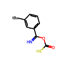 CC(C)(C)c1cccc(C(=N)OC(=O)S)c1